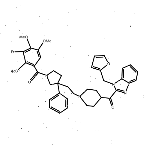 CCc1c(OC)c(OC)cc(C(=O)N2CCC(CCN3CCC(C(=O)c4nc5ccccc5n4Cc4ccco4)CC3)(c3ccccc3)C2)c1OC(C)=O